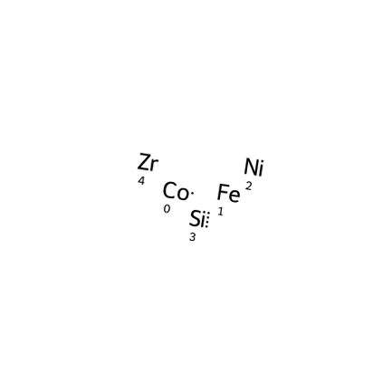 [Co].[Fe].[Ni].[Si].[Zr]